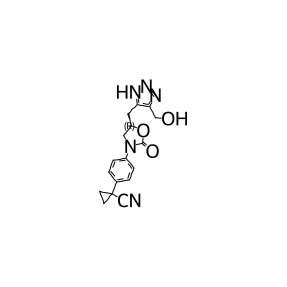 N#CC1(c2ccc(N3C[C@@H](Cc4[nH]nnc4CO)OC3=O)cc2)CC1